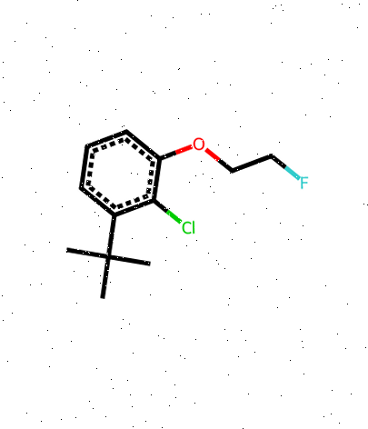 CC(C)(C)c1cccc(OCCF)c1Cl